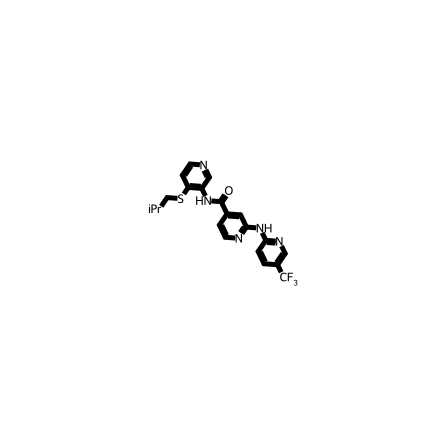 CC(C)CSc1ccncc1NC(=O)c1ccnc(Nc2ccc(C(F)(F)F)cn2)c1